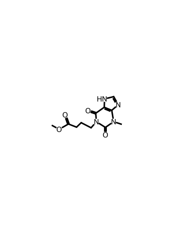 COC(=O)CCCn1c(=O)c2[nH]cnc2n(C)c1=O